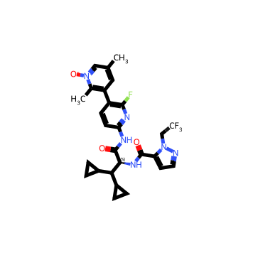 Cc1cc(-c2ccc(NC(=O)[C@@H](NC(=O)c3ccnn3CC(F)(F)F)C(C3CC3)C3CC3)nc2F)c(C)[n+]([O-])c1